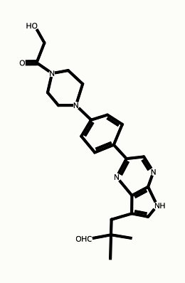 CC(C)(C=O)Cc1c[nH]c2ncc(-c3ccc(N4CCN(C(=O)CO)CC4)cc3)nc12